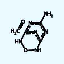 C=O.Nc1nc2nc(n1)NON2